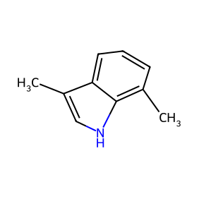 Cc1c[nH]c2c(C)cccc12